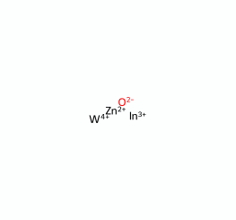 [In+3].[O-2].[W+4].[Zn+2]